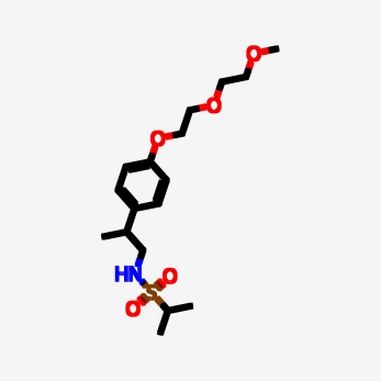 COCCOCCOc1ccc(C(C)CNS(=O)(=O)C(C)C)cc1